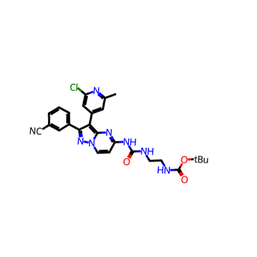 Cc1cc(-c2c(-c3cccc(C#N)c3)nn3ccc(NC(=O)NCCNC(=O)OC(C)(C)C)nc23)cc(Cl)n1